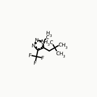 Cn1nnc(C(F)(F)F)c1CC(C)(C)C